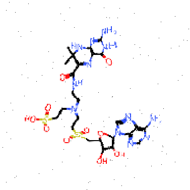 CC1(C)Nc2nc(N)[nH]c(=O)c2N=C1C(=O)NCCN(CCS(=O)(=O)O)CCS(=O)(=O)C[C@H]1O[C@@H](n2cnc3c(N)ncnc32)C(O)C1O